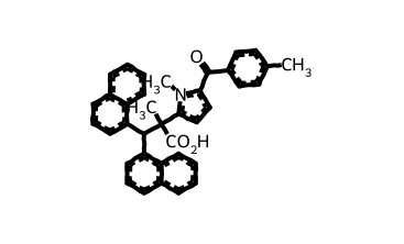 Cc1ccc(C(=O)c2ccc(C(C)(C(=O)O)C(c3cccc4ccccc34)c3cccc4ccccc34)n2C)cc1